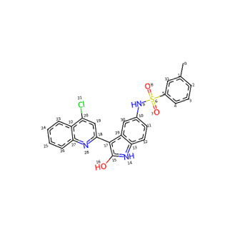 Cc1cccc(S(=O)(=O)Nc2ccc3[nH]c(O)c(-c4cc(Cl)c5ccccc5n4)c3c2)c1